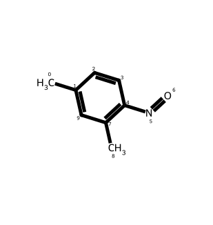 Cc1ccc(N=O)c(C)c1